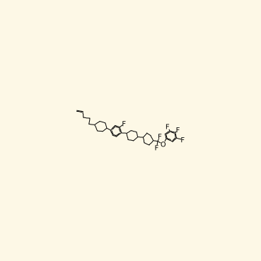 C=CCCCC1CCC(c2ccc(C3CCC(C4CCC(C(F)(F)Oc5cc(F)c(F)c(F)c5)CC4)CC3)c(F)c2)CC1